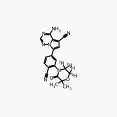 [2H]C1([2H])OC(C)(C)C(=O)N(c2cc(-c3cc(C#N)c4c(N)ncnn34)ccc2C#N)C1([2H])[2H]